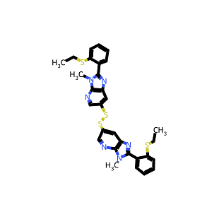 CCSc1ccccc1-c1nc2cc(SSc3cnc4c(c3)nc(-c3ccccc3SCC)n4C)cnc2n1C